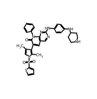 Cc1cn(S(=O)(=O)c2cccs2)c(C)c1-c1cc2cnc(Nc3ccc(NC4CCNCC4)cc3)nc2n(-c2ccccc2)c1=O